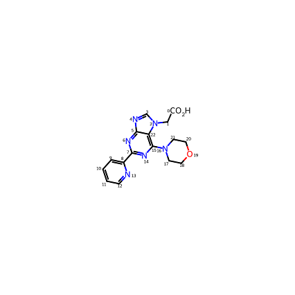 O=C(O)Cn1cnc2nc(-c3ccccn3)nc(N3CCOCC3)c21